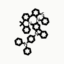 CC1(C)c2ccccc2-n2c3cc4c(cc3n3c5c(cccc5c5cccc1c52)Sc1ccccc1-3)c1ccccc1n4-c1ccc(N(c2ccccc2)c2ccccc2)cc1